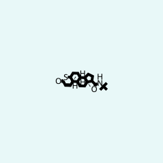 CC(C)(C)NC(=O)C1CC[C@H]2[C@@H]3CCC4SC(=O)C=C[C@]4(C)[C@@H]3CC[C@]12C